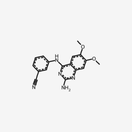 COc1cc2nc(N)nc(Nc3cccc(C#N)c3)c2cc1OC